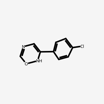 Clc1ccc(C2=CN=CON2)cc1